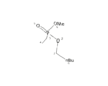 CCCCCOP(C)(=O)OC